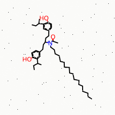 CCCCCCCCCCCCCCCCCCN(C(C)=O)C(CCc1ccc(O)c(C(C)CC)c1)CCc1ccc(O)c(C(C)CC)c1